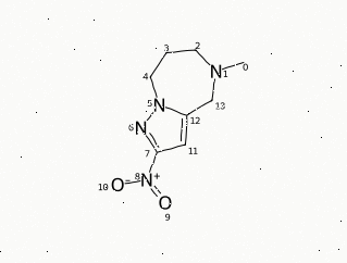 CN1CCCn2nc([N+](=O)[O-])cc2C1